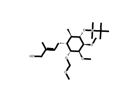 COCO[C@@H]1[C@H](C/C=C(\C)CO)[C@@H](C)[C@H](O[Si](C)(C)C(C)(C)C)[C@@H](OC)[C@H]1OC